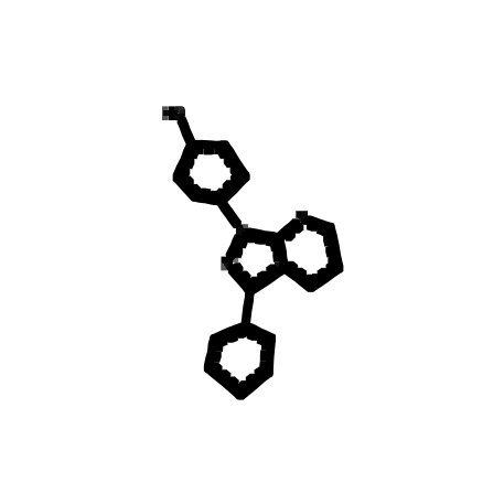 Oc1ccc(-n2nc(-c3ccccc3)c3cccnc32)cc1